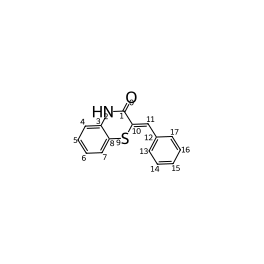 O=C1Nc2ccccc2SC1=Cc1ccccc1